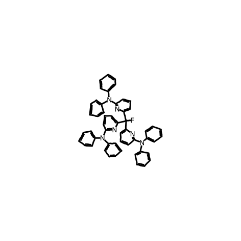 FC(c1cccc(N(c2ccccc2)c2ccccc2)n1)(c1cccc(N(c2ccccc2)c2ccccc2)n1)c1cccc(N(c2ccccc2)c2ccccc2)n1